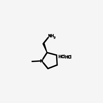 CN1CCC[C@@H]1CN.Cl.Cl